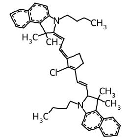 CCCCN1/C(=C/C=C2\CCC(/C=C/C3N(CCCC)c4ccc5ccccc5c4C3(C)C)=C2Cl)C(C)(C)c2c1ccc1ccccc21